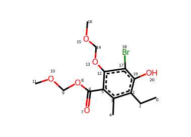 CCc1c(C)c(C(=O)OCOC)c(OCOC)c(Br)c1O